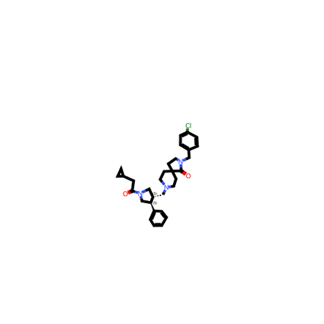 O=C(CC1CC1)N1C[C@H](CN2CCC3(CC2)CCN(Cc2ccc(Cl)cc2)C3=O)[C@@H](c2ccccc2)C1